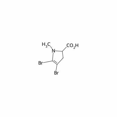 CN1C(Br)=C(Br)CC1C(=O)O